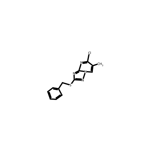 Cc1cn2nc(SCc3ccccc3)nc2nc1Cl